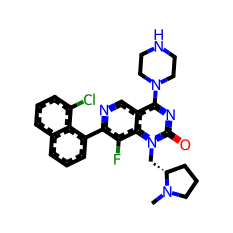 CN1CCC[C@H]1Cn1c(=O)nc(N2CCNCC2)c2cnc(-c3cccc4cccc(Cl)c34)c(F)c21